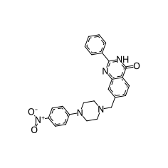 O=c1[nH]c(-c2ccccc2)nc2cc(CN3CCN(c4ccc([N+](=O)[O-])cc4)CC3)ccc12